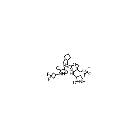 O=C(NC1CC(F)(F)C1)C(=O)N1CC2CCCC2[C@H]1C(=O)NC(CC1CCNC1=O)C(=O)COC(F)(F)F